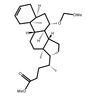 COCO[C@H]1C[C@@H]2CC=CC[C@]2(C)[C@H]2CC[C@]3(C)[C@@H]([C@H](C)CCC(=O)OC)CC[C@H]3[C@H]12